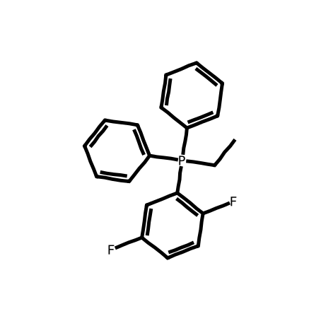 CC[P](c1ccccc1)(c1ccccc1)c1cc(F)ccc1F